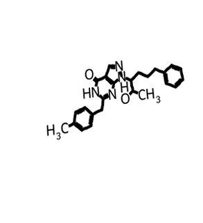 Cc1ccc(Cc2nc3c(cnn3C(CCCc3ccccc3)C(C)O)c(=O)[nH]2)cc1